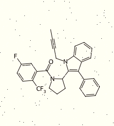 CC#CCn1c(C2CCCN2C(=O)c2cc(F)ccc2C(F)(F)F)c(-c2ccccc2)c2ccccc21